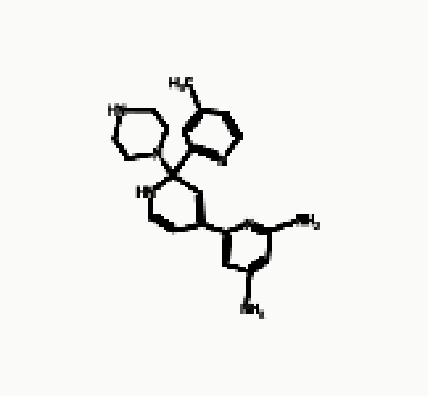 Cc1ccnc(C2(N3CCNCC3)C=C(c3cc(N)cc(N)n3)C=CN2)c1